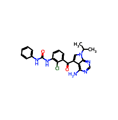 CC(C)n1cc(C(=O)c2cccc(NC(=O)Nc3ccccc3)c2Cl)c2c(N)ncnc21